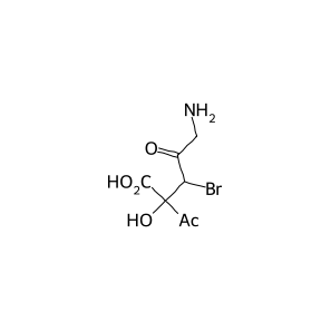 CC(=O)C(O)(C(=O)O)C(Br)C(=O)CN